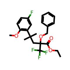 CCOC(=O)C(CC(C)(C)c1cc(F)ccc1OC)(OCc1ccccc1)C(F)(F)F